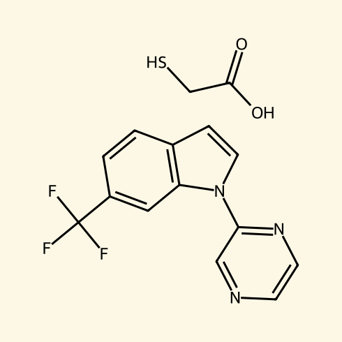 FC(F)(F)c1ccc2ccn(-c3cnccn3)c2c1.O=C(O)CS